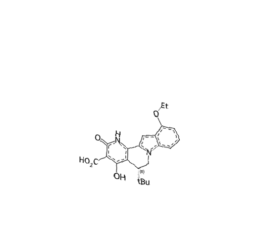 CCOc1cccc2c1cc1n2C[C@H](C(C)(C)C)c2c-1[nH]c(=O)c(C(=O)O)c2O